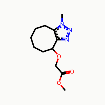 COC(=O)COC1CCCCCc2c1nnn2C